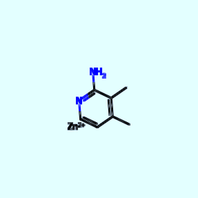 Cc1ccnc(N)c1C.[Zn+2]